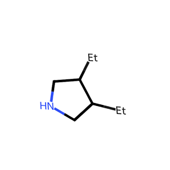 CCC1CNCC1CC